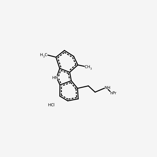 CCCNCCc1cccc2[nH]c3c(C)ccc(C)c3c12.Cl